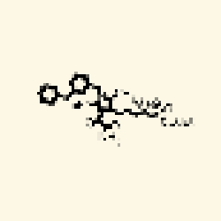 CCCc1c(C(=O)C(N)=O)c(CCCCCP(=O)(OC)C(=O)OCC)c(C)n1Cc1cccc(Cc2ccccc2)c1